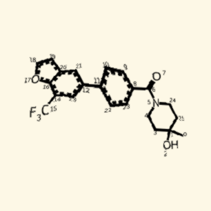 CC1(O)CCN(C(=O)c2ccc(-c3cc(C(F)(F)F)c4occc4c3)cc2)CC1